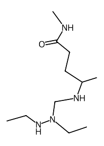 CCNN(CC)CNC(C)CCC(=O)NC